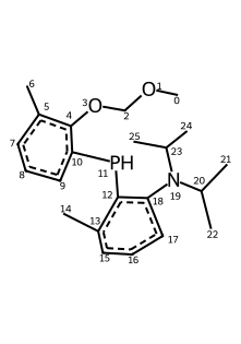 COCOc1c(C)cccc1Pc1c(C)cccc1N(C(C)C)C(C)C